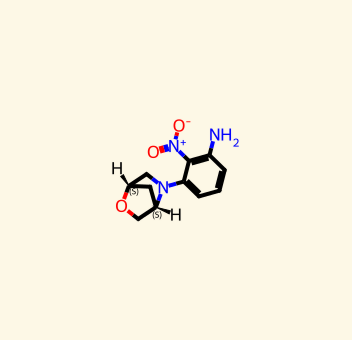 Nc1cccc(N2C[C@@H]3C[C@H]2CO3)c1[N+](=O)[O-]